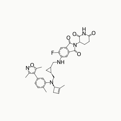 CC1=CC[C@H]1N(C[C@H]1CC1CNc1cc2c(cc1F)C(=O)N(C1CCC(=O)NC1=O)C2=O)c1cc(-c2c(C)noc2C)ccc1C